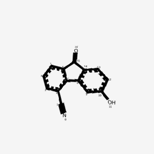 N#Cc1cccc2c1-c1cc(O)ccc1C2=O